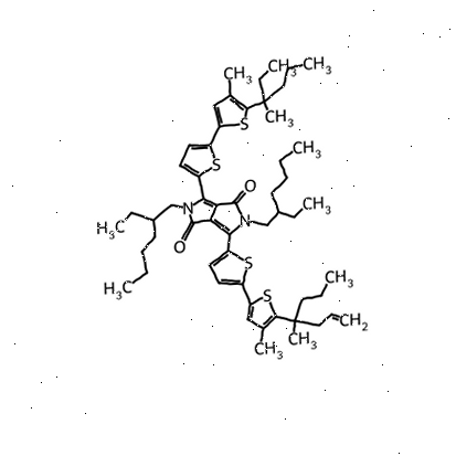 C=CCC(C)(CCC)c1sc(-c2ccc(C3=C4C(=O)N(CC(CC)CCCC)C(c5ccc(-c6cc(C)c(C(C)(CC)CCC)s6)s5)=C4C(=O)N3CC(CC)CCCC)s2)cc1C